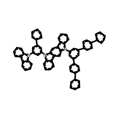 c1ccc(-c2ccc(-c3cc(-c4ccc(-c5ccccc5)cc4)cc(-n4c5ccccc5c5cc6c(cc54)c4ccccc4n6-c4cc(-c5ccccc5)cc(-n5c6ccccc6c6ccccc65)c4)c3)cc2)cc1